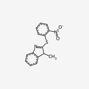 CC1C(Sc2ccccc2[N+](=O)[O-])=Nc2ccccc21